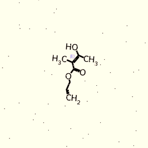 C=CCOC(=O)/C(C)=C(\C)O